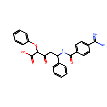 N=C(N)c1ccc(C(=O)NC(CC(=O)C(Oc2ccccc2)C(=O)O)c2ccccc2)cc1